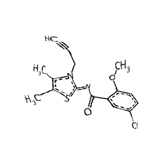 C#CCn1c(C)c(C)sc1=NC(=O)c1cc(Cl)ccc1OC